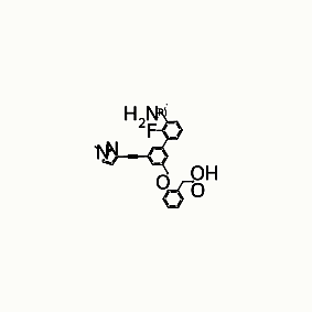 C[C@@H](N)c1cccc(-c2cc(C#Cc3ccn(C)n3)cc(COc3ccccc3CC(=O)O)c2)c1F